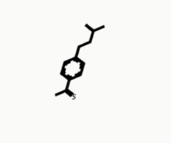 CC(=S)c1ccc(CCC(C)C)cc1